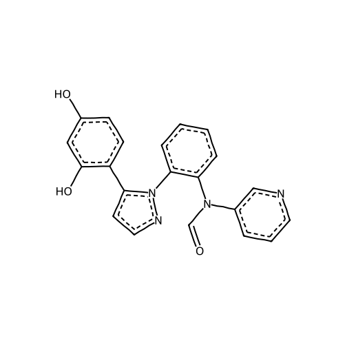 O=CN(c1cccnc1)c1ccccc1-n1nccc1-c1ccc(O)cc1O